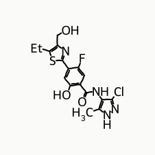 CCc1sc(-c2cc(O)c(C(=O)Nc3c(Cl)n[nH]c3C)cc2F)nc1CO